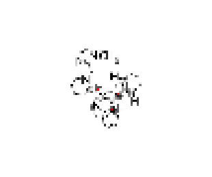 Cn1ccnc1CN1CCCC[C@H]1Cc1nc2ccccc2n1[C@H]1C[C@H]2CCC[C@@H](C1)N2[C@@H]1C[C@@H]2CCCC[C@@H](C2)C1